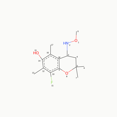 CONC1CC(C)(C)Oc2c(F)c(C)c(O)c(C)c21